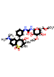 CCCCO[C@@H]1[C@@H](O)[C@H](NC(=O)Nc2cccc([C@@H]3c4cc(N(C)C)ccc4S(=O)(=O)C[C@@](CC)(CCCC)[C@@H]3O)c2)O[C@H](COS(=O)(=O)O)[C@H]1O